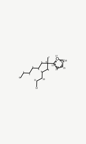 CCCCCCC(C)(CCCCC)c1ccno1